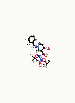 CC(C)(C)ON(C=O)N(OC(C)(C)C)C(=O)C1CN(Cc2ccccc2)CCC1=O